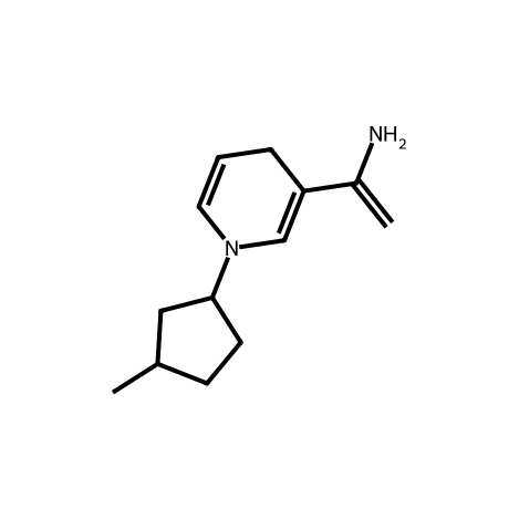 C=C(N)C1=CN(C2CCC(C)C2)C=CC1